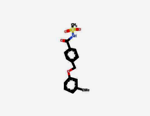 COc1cccc(OCc2ccc(C(=O)NS(C)(=O)=O)cc2)c1